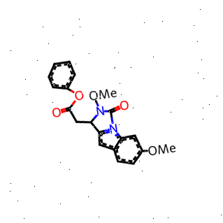 COc1ccc2cc3n(c2c1)C(=O)N(OC)C3CC(=O)Oc1ccccc1